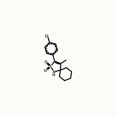 CC1=C(c2ccc(Cl)cc2)S(=O)(=O)NC12CCCCC2